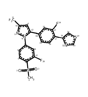 CS(=O)(=O)c1ccc(-n2nc(C(F)(F)F)cc2-c2ccc(-c3cscn3)c(F)c2)cc1F